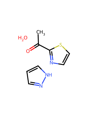 CC(=O)c1nccs1.O.c1cn[nH]c1